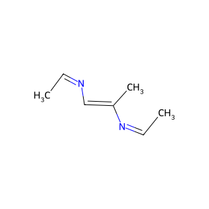 C\C=N/C=C(C)/N=C\C